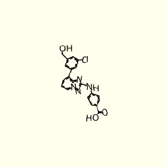 O=C(O)c1ccc(Nc2nc3c(-c4cc(Cl)cc(CO)c4)cccn3n2)cc1